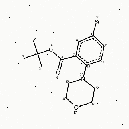 CC(C)(C)OC(=O)c1cc(Br)ccc1N1CCOCC1